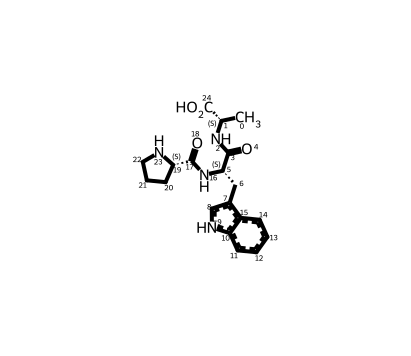 C[C@H](NC(=O)[C@H](Cc1c[nH]c2ccccc12)NC(=O)[C@@H]1CCCN1)C(=O)O